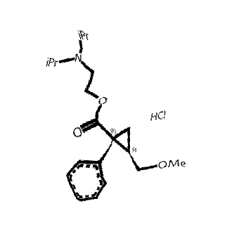 COC[C@@H]1C[C@]1(C(=O)OCCN(C(C)C)C(C)C)c1ccccc1.Cl